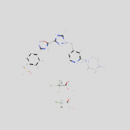 Cc1nc(-c2nc(-c3ccc(S(C)(=O)=O)cc3)no2)nn1Cc1ccnc(N2CCN(C)CC2)c1.O=C(O)C(F)(F)F.O=C(O)C(F)(F)F